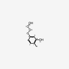 Cc1ccc(SOOO)cc1O